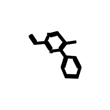 C=Cc1ncc(C)c(-c2ccccc2)n1